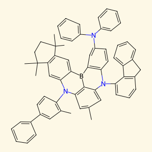 Cc1cc2c3c(c1)N(c1cccc4c1-c1ccccc1C4)c1ccc(N(c4ccccc4)c4ccccc4)cc1B3c1cc3c(cc1N2c1ccc(-c2ccccc2)cc1C)C(C)(C)CCC3(C)C